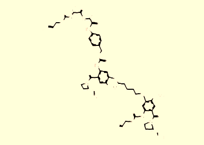 C=CCOC(=O)Nc1cc(OCCCCCOc2cc(NC(=O)OCc3ccc(NC(=O)[C@H](C)NC(=O)[C@@H](NC(=O)OCC=C)C(C)C)cc3)c(C(=O)N3CC[C@H]3CO)cc2OC)c(OC)cc1C(=O)N1CC[C@H]1CO